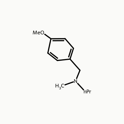 CCCN(C)Cc1ccc(OC)cc1